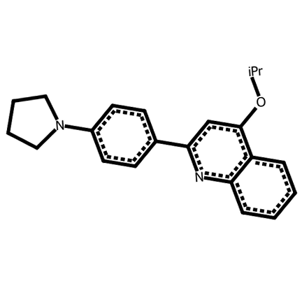 CC(C)Oc1cc(-c2ccc(N3CCCC3)cc2)nc2ccccc12